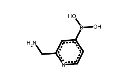 NCc1cc(B(O)O)ccn1